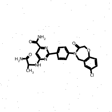 CC(Nc1cc(C(N)=O)nc(-c2ccc(N3Cc4cc(Cl)ccc4OCC3=O)cc2)n1)C(N)=O